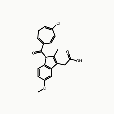 COc1ccc2c(c1)c(CC(=O)O)c(C)n2C(=O)C1=CCC=C(Cl)C=C1